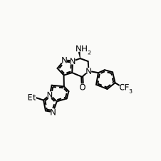 CCc1cnc2ccc(-c3cnn4c3C(=O)N(c3ccc(C(F)(F)F)cc3)C[C@@H]4N)cn12